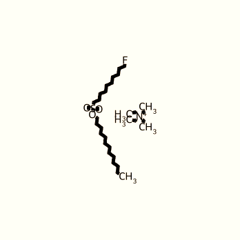 CCCCCCCCCCCCCOS(=O)(=O)CCCCCCCCCCF.CC[N+](CC)(CC)CC